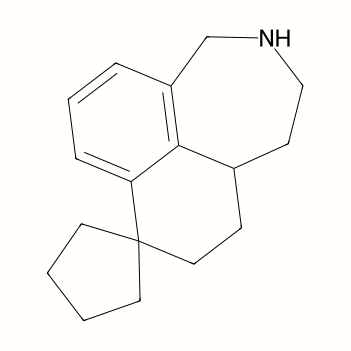 c1cc2c3c(c1)C1(CCCC1)CCC3CCNC2